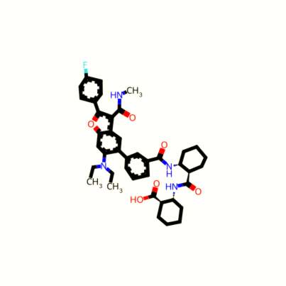 CCN(CC)c1cc2oc(-c3ccc(F)cc3)c(C(=O)NC)c2cc1-c1cccc(C(=O)N[C@@H]2CCCC[C@H]2C(=O)N[C@@H]2CCCC[C@H]2C(=O)O)c1